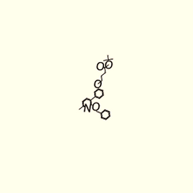 Cc1ccc(-c2cccc(OCCCC(=O)OC(C)(C)C)c2)c(OCc2ccccc2)n1